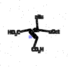 CCCCCCC[CH2][Sn][CH2]CCC.O=C(O)/C=C\C(=O)O